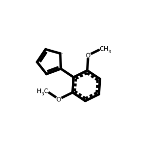 COc1cccc(OC)c1C1=CC=C[CH]1